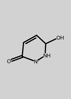 O=C1C=CC(O)N[N]1